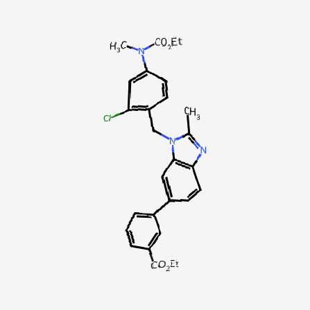 CCOC(=O)c1cccc(-c2ccc3nc(C)n(Cc4ccc(N(C)C(=O)OCC)cc4Cl)c3c2)c1